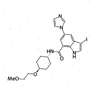 COCCO[C@H]1CC[C@H](NC(=O)c2cc(-n3ccnc3)cc3c(I)c[nH]c23)CC1